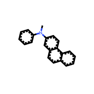 CN(c1ccccc1)c1ccc2c(ccc3ccccc32)c1